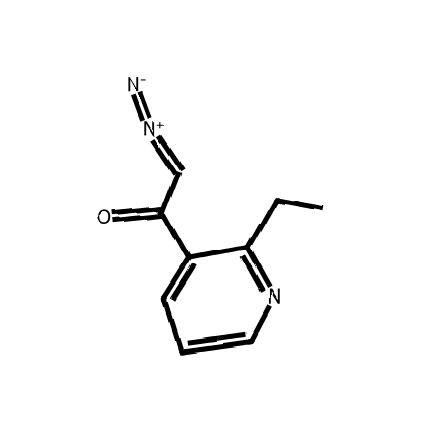 CCc1ncccc1C(=O)C=[N+]=[N-]